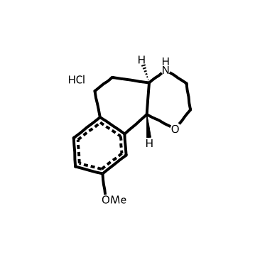 COc1ccc2c(c1)[C@H]1OCCN[C@@H]1CC2.Cl